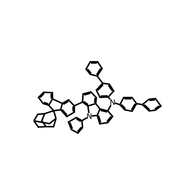 c1ccc(-c2ccc(N(c3ccc(-c4ccccc4)cc3)c3cccc4c3c3cccc(-c5ccc6c(c5)-c5ccccc5C65C6CC7CC(C6)CC5C7)c3n4-c3ccccc3)cc2)cc1